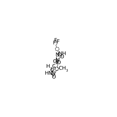 Cc1cc(CN2C(=O)CNC2=O)cc(C)c1CCS(=O)(=O)N1CCC2(CC1)N=C(C1CCC(CCC(F)(F)F)CC1)NC2=O